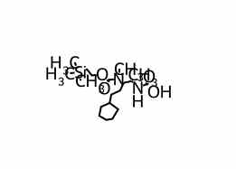 CC(NC(=O)O)C(CCC1CCCCC1)N(C)C(=O)OCC[Si](C)(C)C